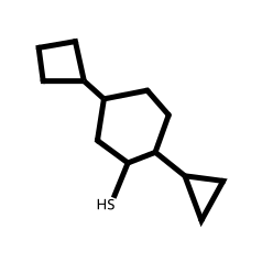 SC1CC(C2CCC2)CCC1C1CC1